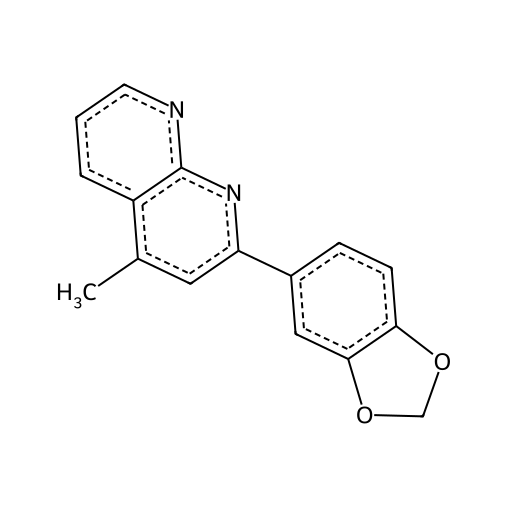 Cc1cc(-c2ccc3c(c2)OCO3)nc2ncccc12